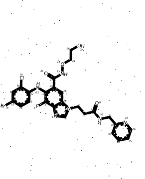 O=C(CCn1cnc2c(F)c(Nc3ccc(Br)cc3Cl)c(C(=O)NOCCO)cc21)NCc1ccccn1